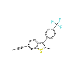 CC#Cc1ccc2c(-c3ccc(C(F)(F)F)cc3)c(C)sc2c1